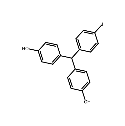 Oc1ccc(C(c2ccc(O)cc2)c2ccc(I)cc2)cc1